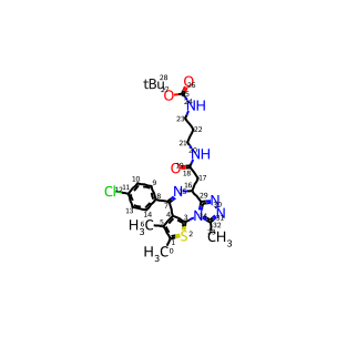 Cc1sc2c(c1C)C(c1ccc(Cl)cc1)=NC(CC(=O)NCCCNC(=O)OC(C)(C)C)c1nnc(C)n1-2